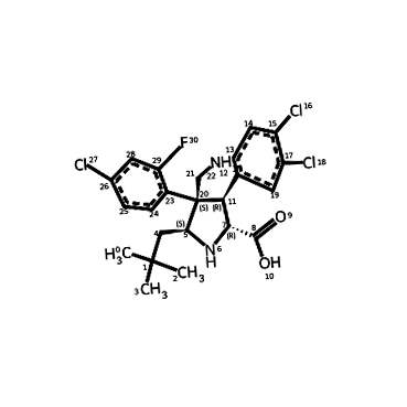 CC(C)(C)C[C@@H]1N[C@@H](C(=O)O)[C@H](c2ccc(Cl)c(Cl)c2)[C@@]1(CN)c1ccc(Cl)cc1F